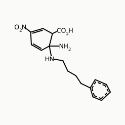 NC1(NCCCCc2ccccc2)C=CC([N+](=O)[O-])=CC1C(=O)O